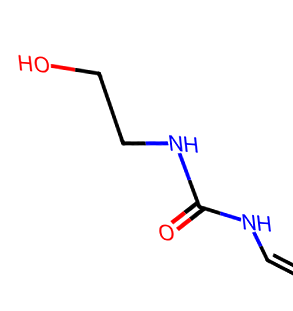 C=CNC(=O)NCCO